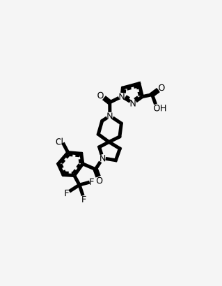 O=C(O)c1ccn(C(=O)N2CCC3(CCN(C(=O)c4cc(Cl)ccc4C(F)(F)F)C3)CC2)n1